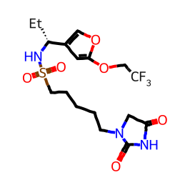 CC[C@@H](NS(=O)(=O)CCCCCN1CC(=O)NC1=O)c1coc(OCC(F)(F)F)c1